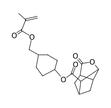 C=C(C)C(=O)OCC1CCC(OC(=O)C2C3CC4C(=O)OC2C4C3)CC1